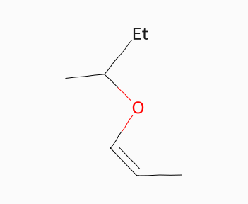 C/C=C\OC(C)CC